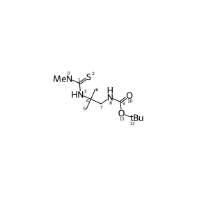 CNC(=S)NC(C)(C)CNC(=O)OC(C)(C)C